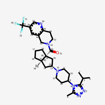 Cc1nnc(C(C)C)n1C1CCN([C@H]2C[C@H]3CCC[C@@]3(C(=O)N3CCc4ncc(C(F)(F)F)cc4C3)C2)CC1